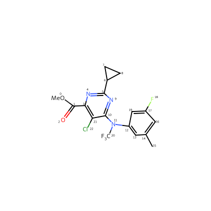 COC(=O)c1nc(C2CC2)nc(N(c2cc(C)cc(F)c2)C(F)(F)F)c1Cl